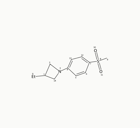 CCC1CN(c2ccc(S(C)(=O)=O)cc2)C1